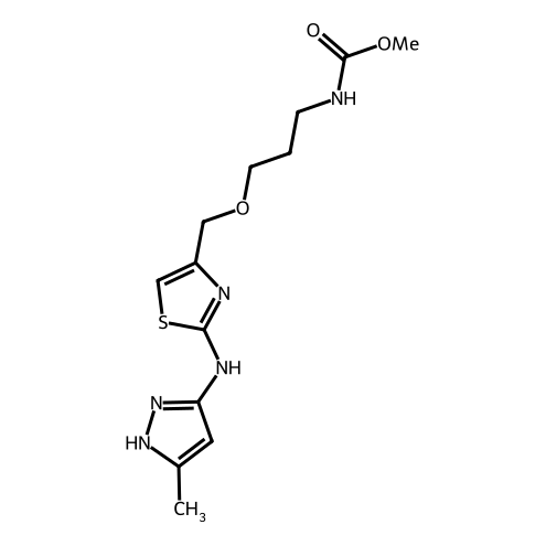 COC(=O)NCCCOCc1csc(Nc2cc(C)[nH]n2)n1